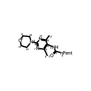 CCCCCC(=O)Nc1c(C)nc(N2CCOCC2)nc1C